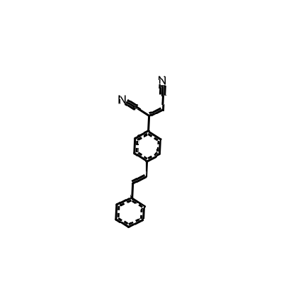 N#CC=C(C#N)c1ccc(C=Cc2ccccc2)cc1